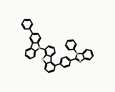 c1ccc(-c2ccc3c(c2)c2ccccc2n3-c2cccc3c2oc2cccc(-c4ccc(-c5nc6ccccc6n5-c5ccccc5)cc4)c23)cc1